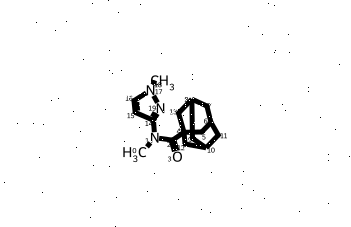 CN(C(=O)C12CC3CC(CC(C3)C1)C2)c1ccn(C)n1